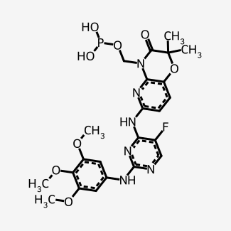 COc1cc(Nc2ncc(F)c(Nc3ccc4c(n3)N(COP(O)O)C(=O)C(C)(C)O4)n2)cc(OC)c1OC